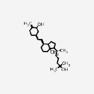 C=C1CC/C(=C/C=C2\CCCC3(C)C2CCC3[C@H](C)CCCC(C)(C)O)CC1O